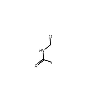 CCCNC(=O)I